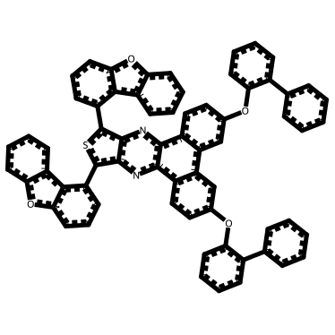 c1ccc(-c2ccccc2Oc2ccc3c(c2)c2cc(Oc4ccccc4-c4ccccc4)ccc2c2nc4c(-c5cccc6oc7ccccc7c56)sc(-c5cccc6oc7ccccc7c56)c4nc32)cc1